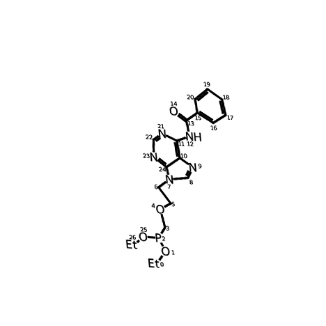 CCOP(COCCn1cnc2c(NC(=O)c3ccccc3)ncnc21)OCC